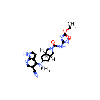 CCOc1nc(NC(=O)N2C[C@H]3C[C@@H](N(C)c4c(C#N)cnc5[nH]ccc45)C[C@H]3C2)no1